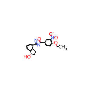 CCOc1ccc(-c2nc(-c3cccc4c3CC[C@@H]4O)no2)cc1[N+](=O)[O-]